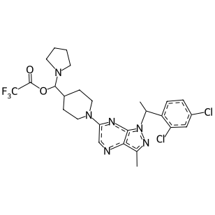 Cc1nn(C(C)c2ccc(Cl)cc2Cl)c2nc(N3CCC(C(OC(=O)C(F)(F)F)N4CCCC4)CC3)cnc12